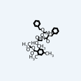 CC(=O)OC(=O)c1c(C)cc(C)cc1C.O=C(O)CNC(=O)[C@H](Cc1ccccc1)NC(=O)OCc1ccccc1